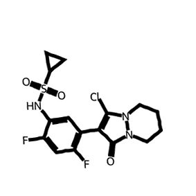 O=c1c(-c2cc(NS(=O)(=O)C3CC3)c(F)cc2F)c(Cl)n2n1CCCC2